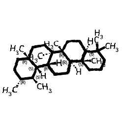 C[C@@H]1[C@H]2[C@H]3CC[C@@H]4[C@@]5(C)CCCC(C)(C)[C@@H]5CC[C@@]4(C)[C@]3(C)CC[C@@]2(C)CC[C@H]1C